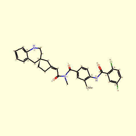 COc1cc(C(=O)N(C)C(=O)C=C2CC[C@@]3(CCNc4ccccc4C3)C2)ccc1NC(=O)c1cc(F)ccc1Cl